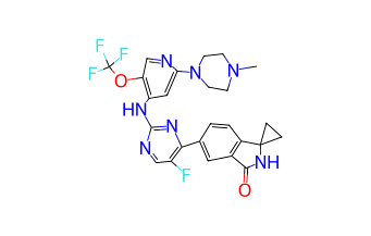 CN1CCN(c2cc(Nc3ncc(F)c(-c4ccc5c(c4)C(=O)NC54CC4)n3)c(OC(F)(F)F)cn2)CC1